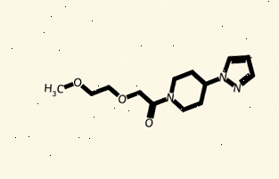 COCCOCC(=O)N1CCC(n2c[c]cn2)CC1